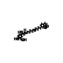 O=S1(=O)CCc2ccc(CCCCOCCCCCCNC[C@H](O)c3ccc(O)c(CO)c3)cc21